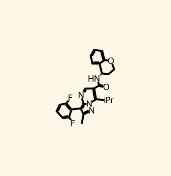 Cc1nn2c(C(C)C)c(C(=O)N[C@H]3CCOc4ccccc43)cnc2c1-c1c(F)cccc1F